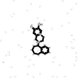 O=c1cc2n(cc1O)CCN(C1CCCCc3ccccc31)C2